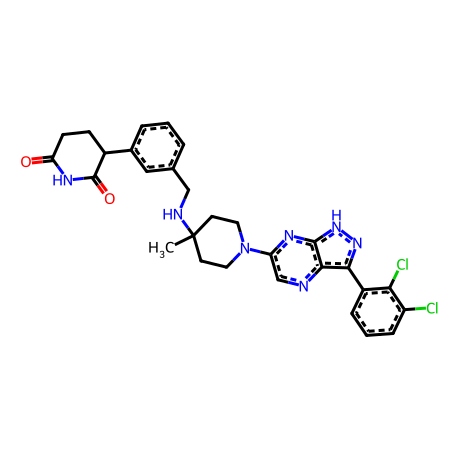 CC1(NCc2cccc(C3CCC(=O)NC3=O)c2)CCN(c2cnc3c(-c4cccc(Cl)c4Cl)n[nH]c3n2)CC1